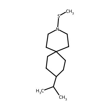 CSN1CCC2(CCC(C(C)C)CC2)CC1